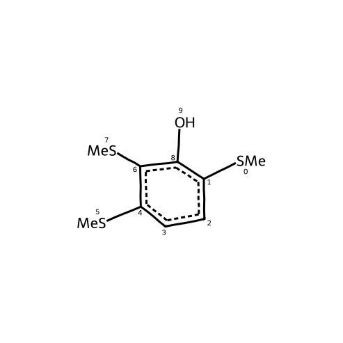 CSc1ccc(SC)c(SC)c1O